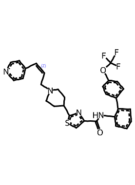 O=C(Nc1ccccc1-c1ccc(OC(F)(F)F)cc1)c1csc(C2CCN(C/C=C\c3ccncc3)CC2)n1